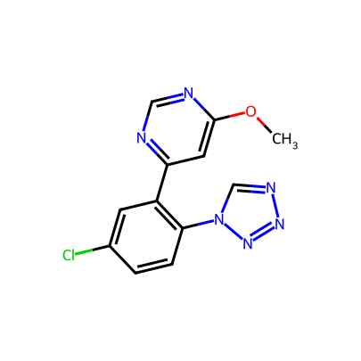 COc1cc(-c2cc(Cl)ccc2-n2cnnn2)ncn1